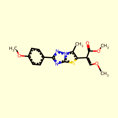 COC=C(C(=O)OC)c1sc2nc(-c3ccc(OC)cc3)nn2c1C